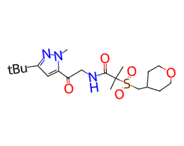 Cn1nc(C(C)(C)C)cc1C(=O)CNC(=O)C(C)(C)S(=O)(=O)CC1CCOCC1